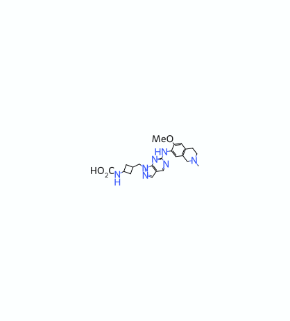 COc1cc2c(cc1Nc1ncc3cnn(CC4CC(NC(=O)O)C4)c3n1)CN(C)CC2